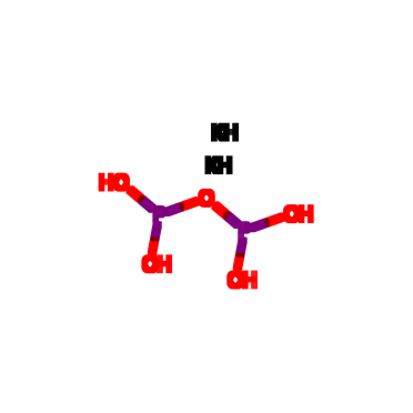 OP(O)OP(O)O.[KH].[KH]